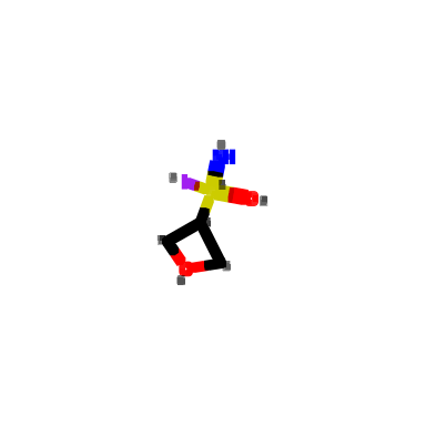 N=S(=O)(I)C1COC1